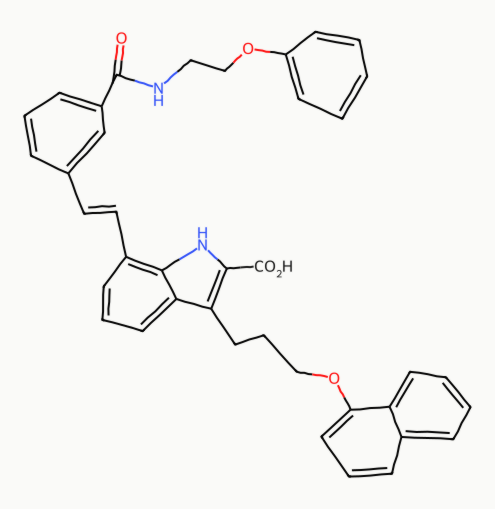 O=C(NCCOc1ccccc1)c1cccc(C=Cc2cccc3c(CCCOc4cccc5ccccc45)c(C(=O)O)[nH]c23)c1